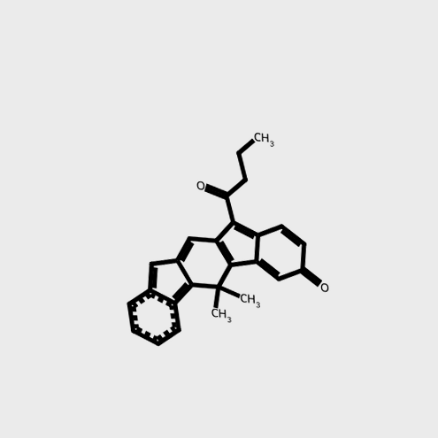 CCCC(=O)C1=C2C=CC(=O)C=C2C2=C1C=C1C=c3ccccc3=C1C2(C)C